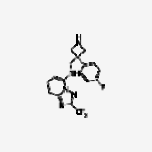 Fc1ccc(C2(CNc3cccc4nc(C(F)(F)F)nn34)CNC2)cc1